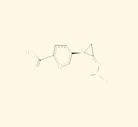 CC(C)(C)[S+]([O-])N=C1C[C@@H]1c1ccc(C(N)=O)nc1